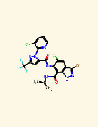 CC(C)NC(=O)c1c(NC(=O)c2cc(C(F)(F)F)nn2-c2ncccc2Cl)c(Cl)cc2c(Br)n[nH]c12